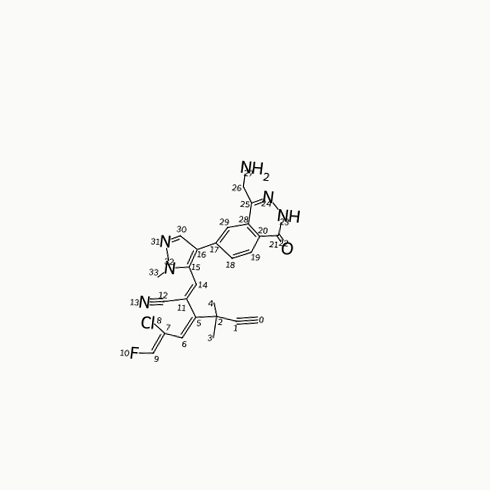 C#CC(C)(C)C(=C/C(Cl)=C/F)/C(C#N)=C/c1c(-c2ccc3c(=O)[nH]nc(CN)c3c2)cnn1C